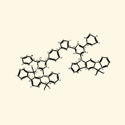 CC1(C)c2ccccc2-c2cc3c(cc21)c1ccccc1n3-c1nc(-c2ccccc2)nc(-c2cccc(-c3ccc(-c4nc(-c5ccccc5)nc(N5c6ccccc6C(C)(C)c6ccc7c(c65)C(C)(C)c5ccccc5-7)n4)cc3)c2)n1